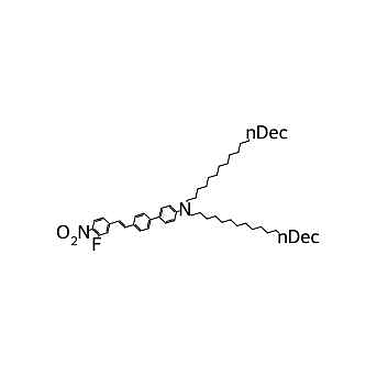 CCCCCCCCCCCCCCCCCCCCCCN(CCCCCCCCCCCCCCCCCCCCCC)c1ccc(-c2ccc(/C=C/c3ccc([N+](=O)[O-])c(F)c3)cc2)cc1